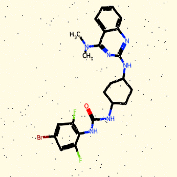 CN(C)c1nc(NC2CCC(NC(=O)Nc3c(F)cc(Br)cc3F)CC2)nc2ccccc12